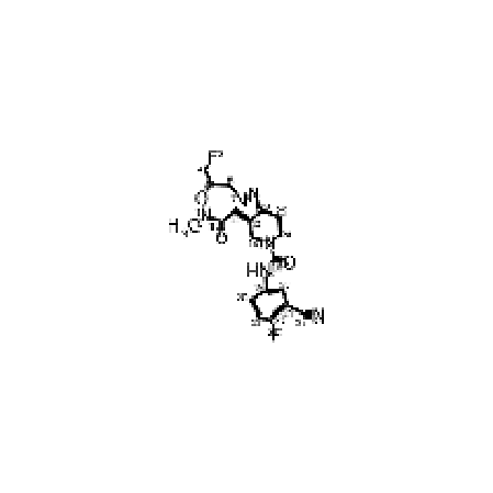 CN1OC(CF)Cn2nc3c(c2C1=O)CN(C(=O)Nc1ccc(F)c(C#N)c1)CC3